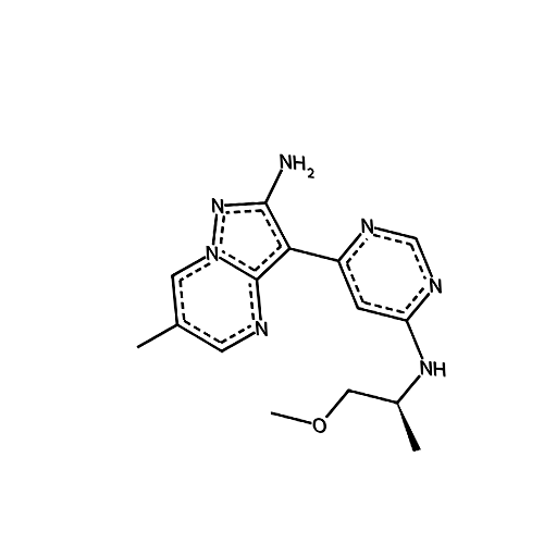 COC[C@H](C)Nc1cc(-c2c(N)nn3cc(C)cnc23)ncn1